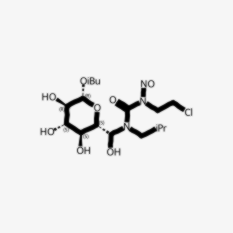 CC(C)CO[C@@H]1O[C@H](C(O)N(CC(C)C)C(=O)N(CCCl)N=O)[C@@H](O)[C@H](O)[C@H]1O